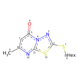 CCCCCCSc1nn2c(=O)cc(C)nc2s1